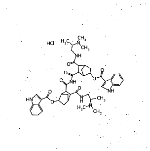 CC(CNC(=O)C1C2CC(OC(=O)c3c[nH]c4ccccc34)C(C2)C1C(=O)NC(=O)C1C2CC(CC2OC(=O)c2c[nH]c3ccccc23)C1C(=O)NCC(C)N(C)C)N(C)C.Cl